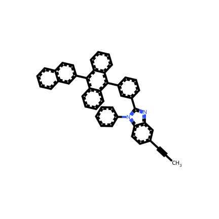 CC#Cc1ccc2c(c1)nc(-c1cccc(-c3c4ccccc4c(-c4ccc5ccccc5c4)c4ccccc34)c1)n2-c1ccccc1